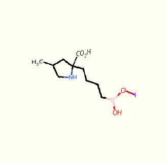 CC1CNC(CCCCB(O)OI)(C(=O)O)C1